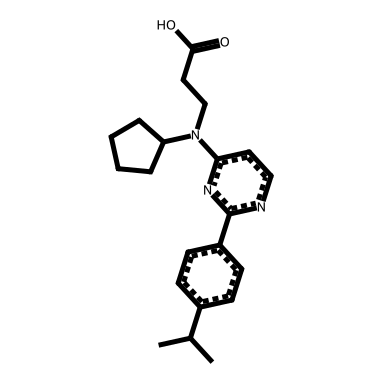 CC(C)c1ccc(-c2nccc(N(CCC(=O)O)C3CCCC3)n2)cc1